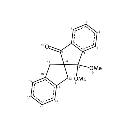 COC1(OC)c2ccccc2C(=O)C12Cc1ccccc1C2